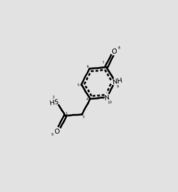 O=C(S)Cc1ccc(=O)[nH]n1